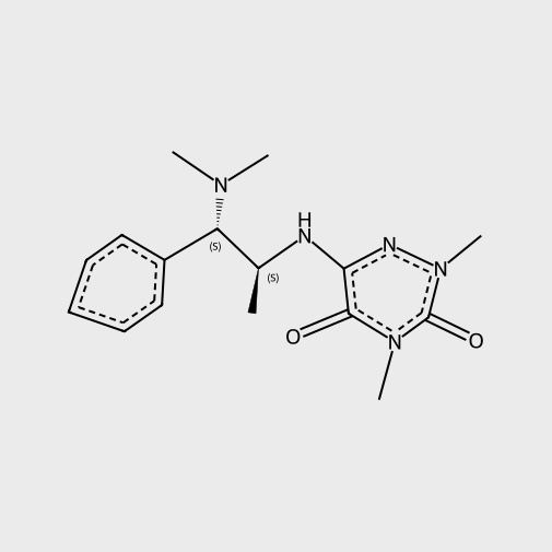 C[C@H](Nc1nn(C)c(=O)n(C)c1=O)[C@H](c1ccccc1)N(C)C